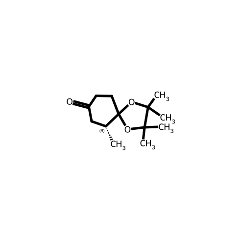 C[C@@H]1CC(=O)CCC12OC(C)(C)C(C)(C)O2